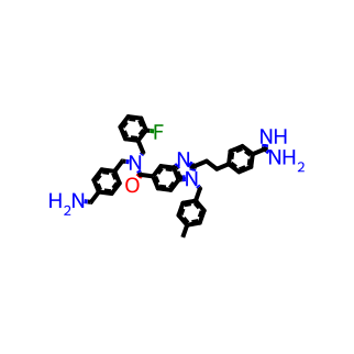 Cc1ccc(Cn2c(CCc3ccc(C(=N)N)cc3)nc3cc(C(=O)N(Cc4ccc(CN)cc4)Cc4ccccc4F)ccc32)cc1